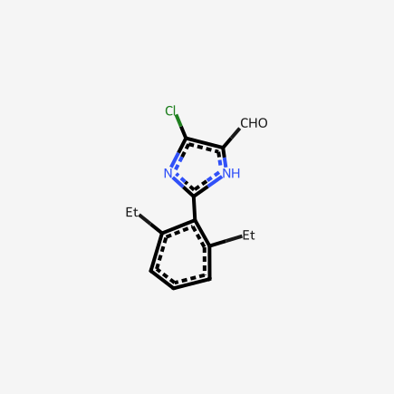 CCc1cccc(CC)c1-c1nc(Cl)c(C=O)[nH]1